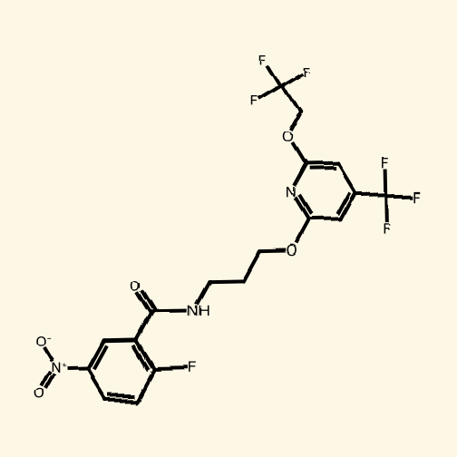 O=C(NCCCOc1cc(C(F)(F)F)cc(OCC(F)(F)F)n1)c1cc([N+](=O)[O-])ccc1F